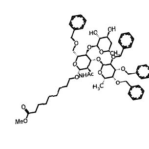 COC(=O)CCCCCCCCO[C@@H]1O[C@H](COCc2ccccc2)[C@@H](O[C@@H]2O[C@H](C)C[C@H](O)[C@H]2O)[C@H](O[C@@H]2O[C@@H](C)[C@@H](OCc3ccccc3)[C@@H](OCc3ccccc3)[C@@H]2OCc2ccccc2)[C@H]1NC(C)=O